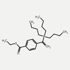 C=[C](c1ccc(C(=O)OCC)cc1)[Sn]([CH2]CCC)([CH2]CCC)[CH2]CCC